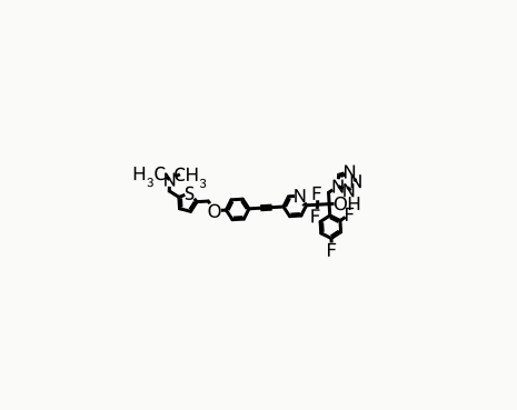 CN(C)Cc1ccc(COc2ccc(C#Cc3ccc(C(F)(F)C(O)(Cn4cnnn4)c4ccc(F)cc4F)nc3)cc2)s1